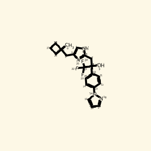 CC1(Cc2c[nH]c(CC(O)(c3ccc(-n4cccn4)cc3)C(F)(F)F)n2)CCC1